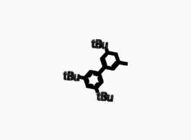 CC1=CC(c2cc(C(C)(C)C)cc(C(C)(C)C)c2)=CC(C(C)(C)C)C1